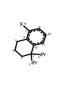 CC(C)C1(C(C)C)CCCc2c(F)cccc21